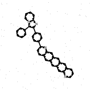 c1ccc(-c2c(-c3ccc(-c4ccc5cc6cc7cc8ncccc8cc7cc6cc5n4)cc3)nc3ccccn23)cc1